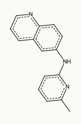 Cc1cccc(Nc2ccc3ncccc3c2)n1